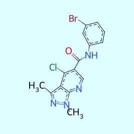 Cc1nn(C)c2ncc(C(=O)Nc3cccc(Br)c3)c(Cl)c12